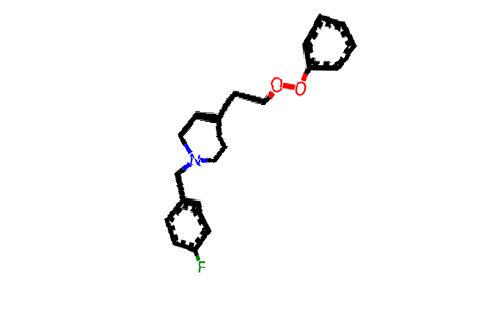 Fc1ccc(CN2CCC(CCOOc3ccccc3)CC2)cc1